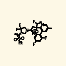 C=[N+]([C@@H]1CN(C2=NOC(c3ncc(C)cc3-c3c(F)cc(F)cc3F)(C(F)F)C2)CC1(F)F)S(=O)(=O)CC